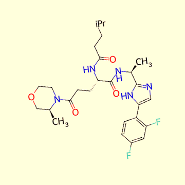 CC(C)CCC(=O)N[C@@H](CCC(=O)N1CCOC[C@@H]1C)C(=O)N[C@@H](C)c1ncc(-c2ccc(F)cc2F)[nH]1